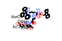 COC(=O)[C@H]1O[C@@H](Oc2ccc(CO)cc2NC(=O)CCNC(=O)[C@H](CCCCNC(c2ccccc2)(c2ccccc2)c2ccc(OC)cc2)NC(=O)OCC2c3ccccc3-c3ccccc32)[C@H](OC(C)=O)[C@@H](OC(C)=O)[C@@H]1OC(C)=O